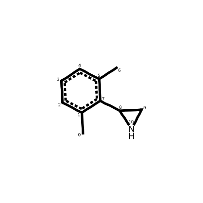 Cc1cccc(C)c1C1CN1